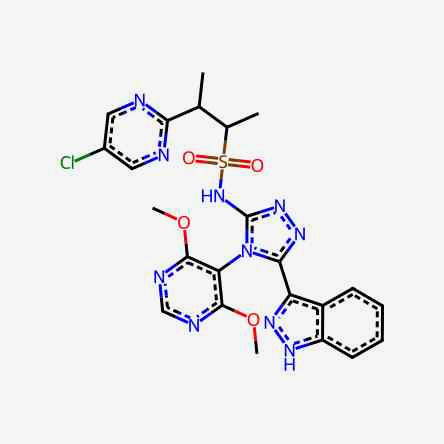 COc1ncnc(OC)c1-n1c(NS(=O)(=O)C(C)C(C)c2ncc(Cl)cn2)nnc1-c1n[nH]c2ccccc12